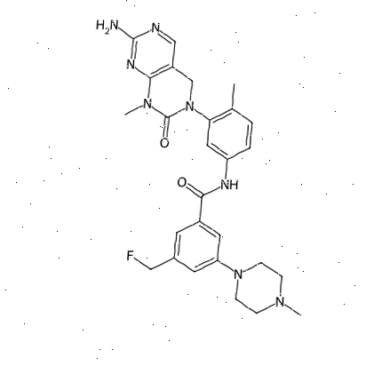 Cc1ccc(NC(=O)c2cc(CF)cc(N3CCN(C)CC3)c2)cc1N1Cc2cnc(N)nc2N(C)C1=O